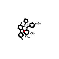 CCCCc1ccc([C](c2ccc(CCCC)cc2)=[Zr+2]([C]2=CC=CC2)[c]2c(C)ccc3c2Cc2cc(C)ccc2-3)cc1.[Cl-].[Cl-]